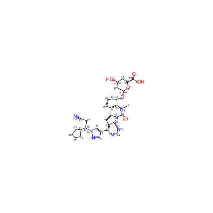 CN(C(=O)n1ccc2c(-c3cnn([C@H](CC#N)C4CCCC4)c3)ncnc21)c1ccccc1O[C@H]1C[C@@H](O)C[C@@H](C(=O)O)O1